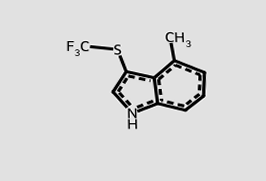 Cc1cccc2[nH]cc(SC(F)(F)F)c12